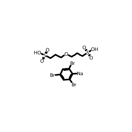 O=S(=O)(O)CCCOCCCS(=O)(=O)O.[Na][c]1c(Br)cc(Br)cc1Br